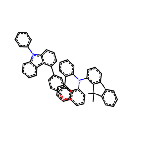 CC1(C)c2ccccc2-c2cccc(N(c3ccccc3-c3ccccc3)c3cccc4oc5ccc(-c6cccc7c6c6ccccc6n7-c6ccccc6)cc5c34)c21